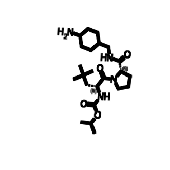 CC(C)OC(=O)N[C@H](CC(C)(C)C)C(=O)N1CCC[C@H]1C(=O)NCC1CCC(N)CC1